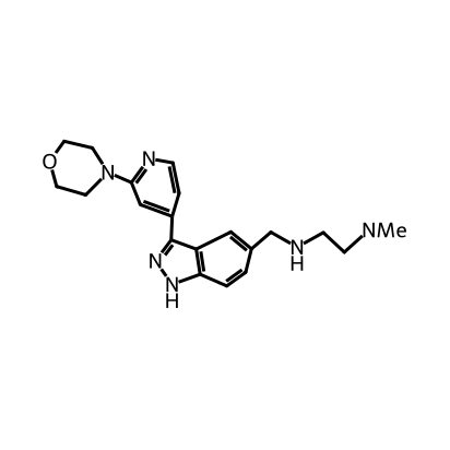 CNCCNCc1ccc2[nH]nc(-c3ccnc(N4CCOCC4)c3)c2c1